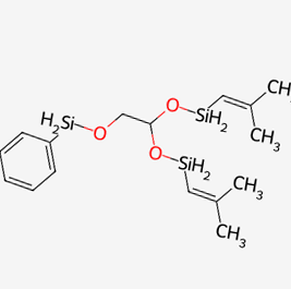 CC(C)=C[SiH2]OC(CO[SiH2]c1ccccc1)O[SiH2]C=C(C)C